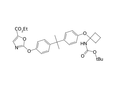 CCOC(=O)c1cnc(Oc2ccc(C(C)(C)c3ccc(OC4(NC(=O)OC(C)(C)C)CCC4)cc3)cc2)o1